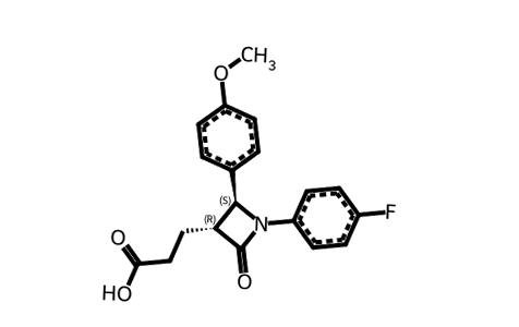 COc1ccc([C@@H]2[C@@H](CCC(=O)O)C(=O)N2c2ccc(F)cc2)cc1